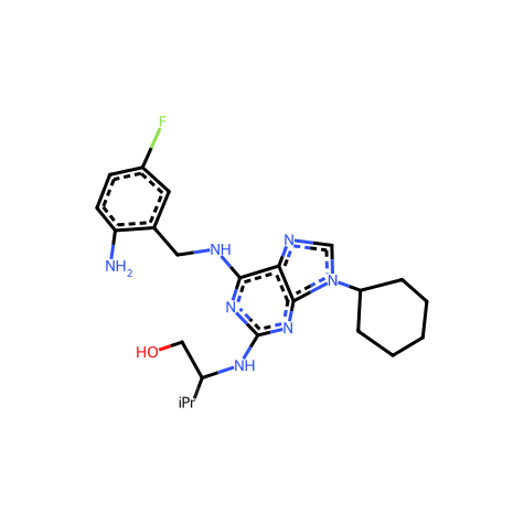 CC(C)C(CO)Nc1nc(NCc2cc(F)ccc2N)c2ncn(C3CCCCC3)c2n1